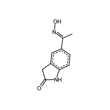 CC(=NO)c1ccc2c(c1)CC(=O)N2